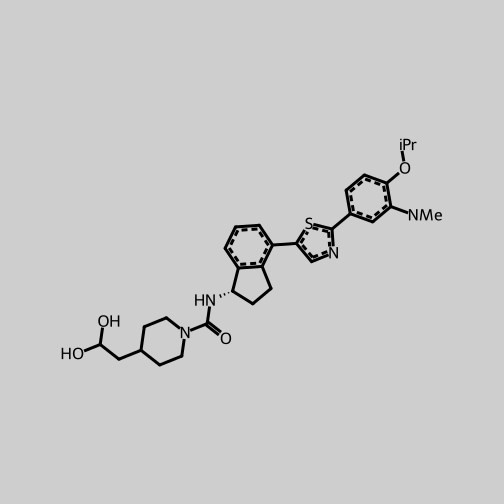 CNc1cc(-c2ncc(-c3cccc4c3CC[C@@H]4NC(=O)N3CCC(CC(O)O)CC3)s2)ccc1OC(C)C